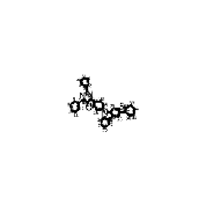 c1ccc(-c2nc(-c3ccccc3)c3oc4cc(-n5c6ccccc6c6cc7c(cc65)sc5ccccc57)ccc4c3n2)cc1